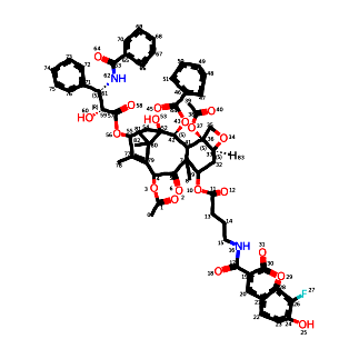 CC(=O)OC1C(=O)C2(C)C(OC(=O)CCCNC(=O)c3cc4ccc(O)c(F)c4oc3=O)C[C@@H]3OC[C@@]3(OC(C)=O)C2[C@H](OC(=O)c2ccccc2)C2(O)CC(OC(=O)[C@H](O)[C@@H](NC(=O)c3ccccc3)c3ccccc3)C(C)=C1C2(C)C